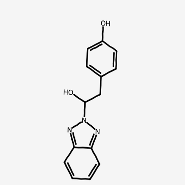 Oc1ccc(CC(O)n2nc3ccccc3n2)cc1